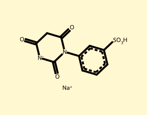 O=C1CC(=O)N(c2cccc(S(=O)(=O)O)c2)C(=O)[N-]1.[Na+]